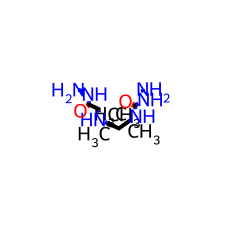 CC(C)(CC(C)(C)NC(=O)NN)NCC(=O)NN